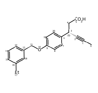 CC#C[C@@H](CC(=O)O)c1ccc(OCc2cccc(CC)c2)cc1